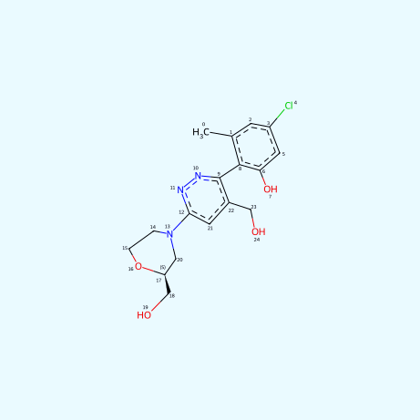 Cc1cc(Cl)cc(O)c1-c1nnc(N2CCO[C@H](CO)C2)cc1CO